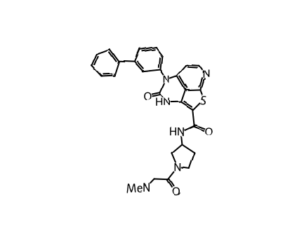 CNCC(=O)N1CCC(NC(=O)c2sc3nccc4c3c2NC(=O)N4c2cccc(-c3ccccc3)c2)C1